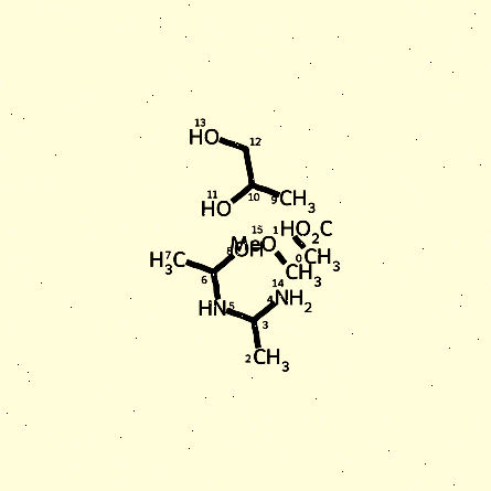 CC(=O)O.CC(N)NC(C)O.CC(O)CO.COC